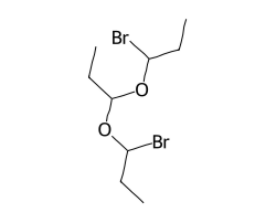 CCC(Br)OC(CC)OC(Br)CC